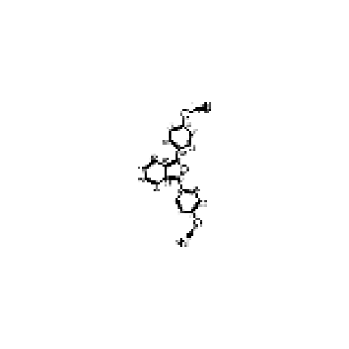 N#COc1ccc(-c2oc(-c3ccc(OC#N)cc3)c3ccccc23)cc1